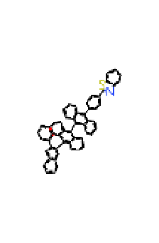 c1ccc(-c2cc3ccccc3cc2-c2c3ccccc3c(-c3c4ccccc4c(-c4ccc(-c5nc6ccccc6s5)cc4)c4ccccc34)c3ccccc23)cc1